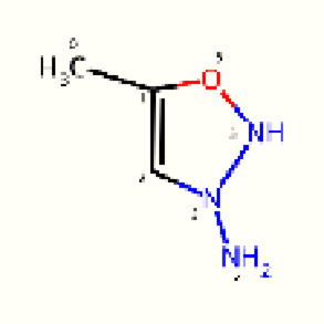 CC1=CN(N)NO1